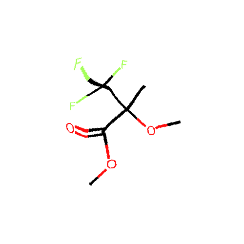 COC(=O)C(C)(OC)C(F)(F)F